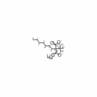 CCCCCCCC(C(=O)[O-])(C(=O)[O-])C(C)(C)C.[Li+].[Li+]